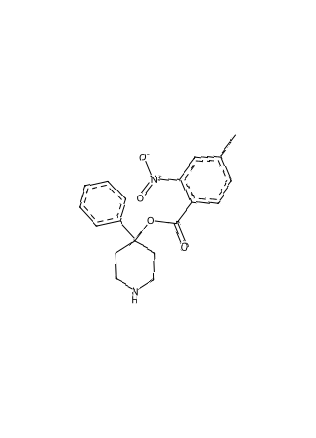 Cc1ccc(C(=O)OC2(c3ccccc3)CCNCC2)c([N+](=O)[O-])c1